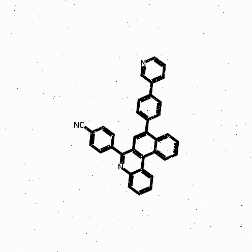 N#Cc1ccc(-c2nc3ccccc3c3c2cc(-c2ccc(-c4cccnc4)cc2)c2ccccc23)cc1